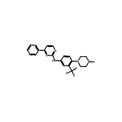 CN1CCN(c2ccc(Nc3nccc(-c4ccccc4)n3)cc2C(F)(F)F)CC1